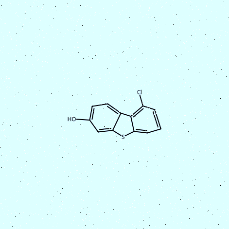 Oc1ccc2c(c1)sc1cccc(Cl)c12